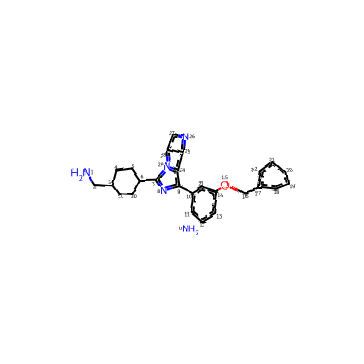 N.NCC1CCC(c2nc(-c3cccc(OCc4ccccc4)c3)c3c4ncc-4n23)CC1